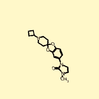 CN1CCN(c2ccc3c(c2)OC2(CCN(C4CCC4)CC2)O3)C1=O